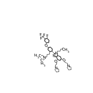 CCCCn1c(-c2ccc(Oc3ccc(F)c(C(F)(F)F)c3)cc2CCCN(CC)CC)nc2c(OCCN3CCCC3)cc(OCCN3CCCC3)cc21